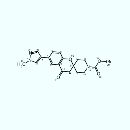 Cn1cc(-c2ccc3c(c2)C(=O)CC2(CCN(C(=O)OC(C)(C)C)CC2)O3)cn1